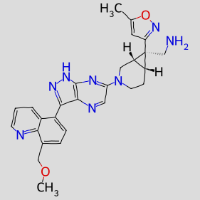 COCc1ccc(-c2n[nH]c3nc(N4CC[C@@H]5[C@H](C4)[C@@]5(CN)c4cc(C)on4)cnc23)c2cccnc12